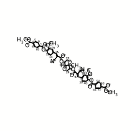 COC(=O)c1ccc(C(=O)Oc2ccc(/C=C(\C#N)C(=O)O[C@H]3CO[C@@]4(C)[C@@H]3OC[C@H]4OC(=O)/C(C#N)=C/c3ccc(OC(=O)c4ccc(C(=O)OC)cc4)c(OC)c3)cc2OC)cc1